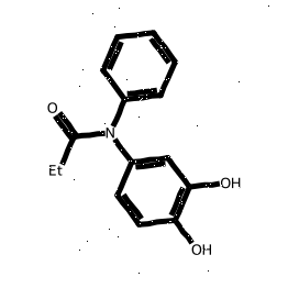 CCC(=O)N(c1ccccc1)c1ccc(O)c(O)c1